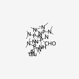 CN(C)P(=NP(C=O)(N=P(N(C)C)(N(C)C)N(C)C)(N=P(N(C)C)(N(C)C)N(C)C)NC(C)(C)CC(C)(C)C)(N(C)C)N(C)C